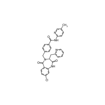 Cc1ccc(NC(=O)c2ccc(CN3C(=O)c4ccc(Cl)cc4NC(=O)C3Cc3ccccn3)cc2)nc1